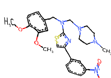 COc1ccc(CN(CN2CCN(C)CC2)c2nc(-c3cccc([N+](=O)[O-])c3)cs2)cc1OC